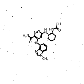 Cn1cnc2c(Nc3cc(N[C@@H]4CCCC[C@@H]4NC(=O)O)nnc3C(N)=O)cccc21